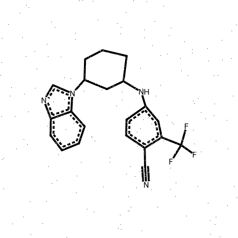 N#Cc1ccc(NC2CCCC(n3cnc4ccccc43)C2)cc1C(F)(F)F